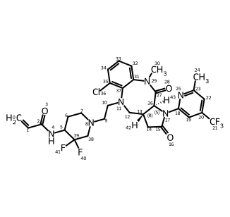 C=CC(=O)NC1CCN(CCN2C[C@H]3CC(=O)N(c4cc(C(F)(F)F)cc(C)n4)[C@@H]3C(=O)N(C)c3cccc(Cl)c32)CC1(F)F